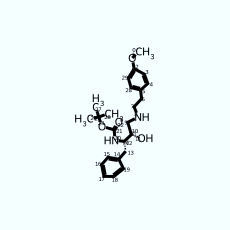 COc1ccc(CCNC[C@H](O)[C@H](Cc2ccccc2)NC(=O)OC(C)(C)C)cc1